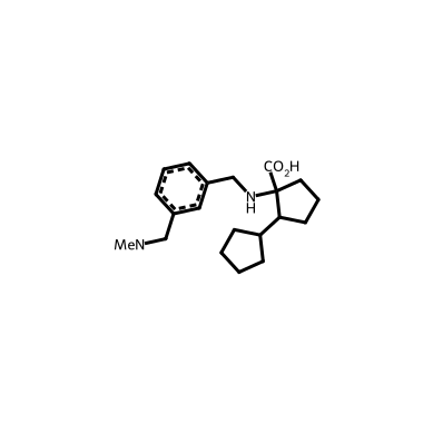 CNCc1cccc(CNC2(C(=O)O)CCCC2C2CCCC2)c1